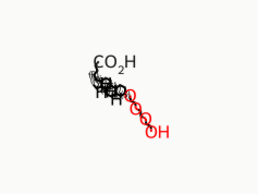 C[C@H](CCC(=O)O)[C@H]1CC[C@H]2[C@@H]3CC[C@@H]4C[C@@H](OCCOCCOCCO)CC[C@]4(C)[C@H]3CC[C@]12C